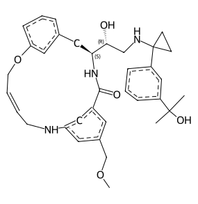 COCc1cc2cc(c1)C(=O)N[C@H]([C@H](O)CNC1(c3cccc(C(C)(C)O)c3)CC1)Cc1cccc(c1)OCC=CCN2